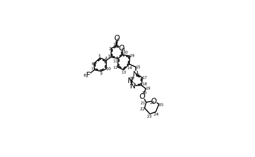 O=c1cc(-c2ccc(F)cc2)c2ccc(Cn3cc(COC4CCCCO4)nn3)cc2o1